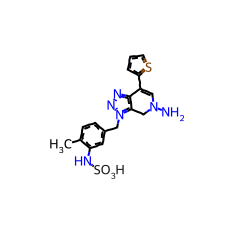 Cc1ccc(Cn2nnc3c2CN(N)C=C3c2cccs2)cc1NS(=O)(=O)O